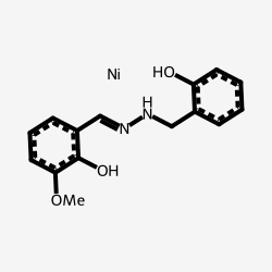 COc1cccc(C=NNCc2ccccc2O)c1O.[Ni]